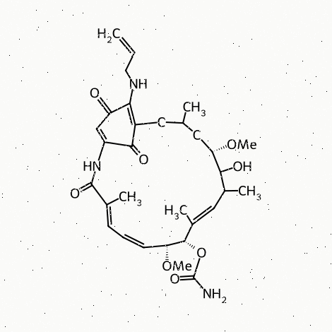 C=CCNC1=C2CC(C)C[C@H](OC)C(O)C(C)/C=C(\C)[C@H](OC(N)=O)[C@H](OC)/C=C\C=C(/C)C(=O)NC(=CC1=O)C2=O